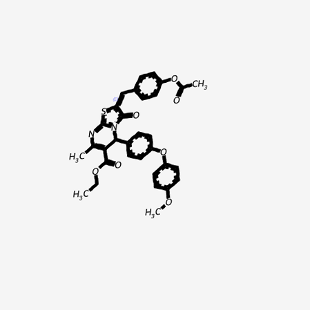 CCOC(=O)C1=C(C)N=c2s/c(=C/c3ccc(OC(C)=O)cc3)c(=O)n2C1c1ccc(Oc2ccc(OC)cc2)cc1